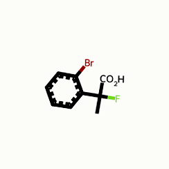 CC(F)(C(=O)O)c1ccccc1Br